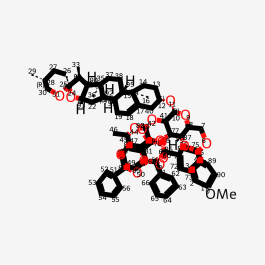 COc1ccc(C2OCC3O[C@@H](O[C@H]4CC[C@@]5(C)C(=CC[C@H]6[C@@H]7C[C@@H]8O[C@]9(CC[C@@H](C)CO9)[C@@H](C)[C@@H]8[C@@]7(C)CC[C@@H]65)C4)C(OC4OC(C)C(OC(=O)c5ccccc5)C(OC(=O)c5ccccc5)C4OC(=O)c4ccccc4)C(OC(=O)c4ccccc4)[C@@H]3O2)cc1